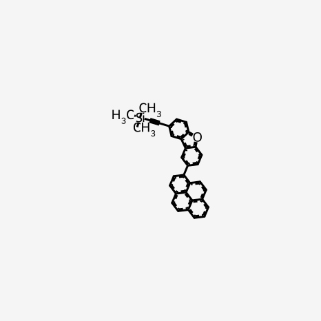 C[Si](C)(C)C#Cc1ccc2oc3ccc(-c4ccc5ccc6cccc7ccc4c5c67)cc3c2c1